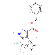 Cn1nc(C(=O)OCc2ccccc2)c2c1C(F)(F)[C@@H]1C=C[C@H]21